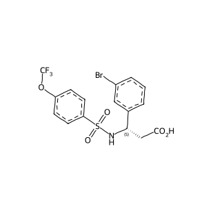 O=C(O)C[C@H](NS(=O)(=O)c1ccc(OC(F)(F)F)cc1)c1cccc(Br)c1